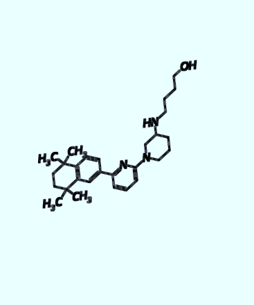 CC1(C)CCC(C)(C)c2cc(-c3cccc(N4CCCC(NCCCCO)C4)n3)ccc21